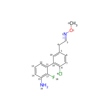 CO/N=C/Cc1ccc(Cl)c(-c2cccc(N)c2F)c1